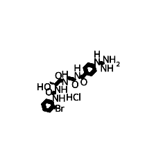 Cl.N=C(N)Nc1ccc(C(=O)NC(=O)CNC(=O)[C@H](CO)NC(=O)Nc2ccccc2Br)cc1